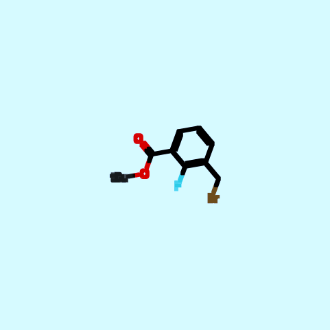 CC(C)(C)OC(=O)c1cccc(CBr)c1F